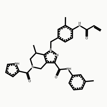 C=CC(=O)Nc1ccc(Cn2nc(C(=O)Nc3cccc(C)c3)c3c2C(C)CN(C(=O)c2ccc[nH]2)C3)cc1C